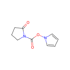 O=C1CCCN1C(=O)On1cccc1